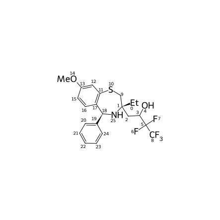 CC[C@]1(CC(O)C(F)(F)C(F)(F)F)CSc2cc(OC)ccc2[C@H](c2ccccc2)N1